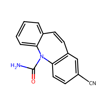 N#Cc1ccc2c(c1)C=Cc1ccccc1N2C(N)=O